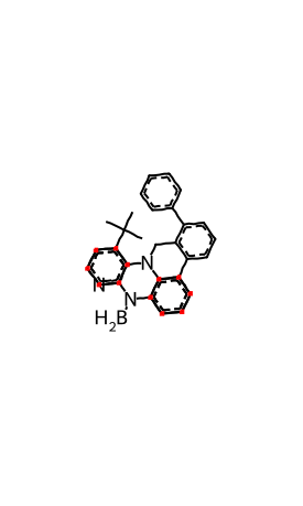 BN(c1cc(C(C)(C)C)ccn1)c1ccccc1N(Cc1c(-c2ccccc2)cccc1-c1ccccc1)c1ccccc1